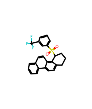 O=S(=O)(c1cccc(C(F)(F)F)c1)C1CCCc2ccc3c(ccc4ccccc43)c21